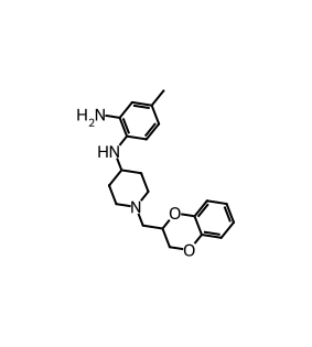 Cc1ccc(NC2CCN(CC3COc4ccccc4O3)CC2)c(N)c1